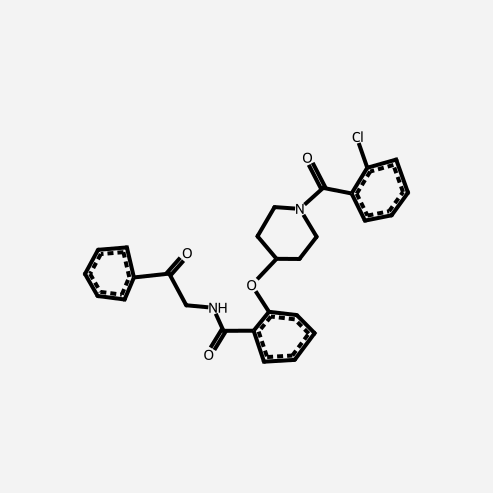 O=C(CNC(=O)c1ccccc1OC1CCN(C(=O)c2ccccc2Cl)CC1)c1ccccc1